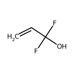 C=CC(O)(F)F